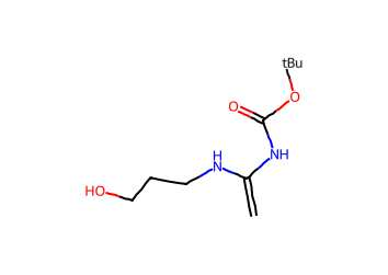 C=C(NCCCO)NC(=O)OC(C)(C)C